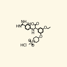 CCOc1cc(OC2CCN(S(C)(=O)=O)CC2)cc(C(Nc2ccc(C(=N)N)cc2)C(=O)O)c1.Cl